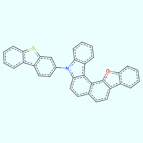 c1ccc2c(c1)oc1c2ccc2ccc3c(c4ccccc4n3-c3ccc4c(c3)sc3ccccc34)c21